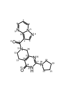 O=C(c1cnn2cccnc12)N1CCc2c(nc(N3CCCC3)[nH]c2=O)C1